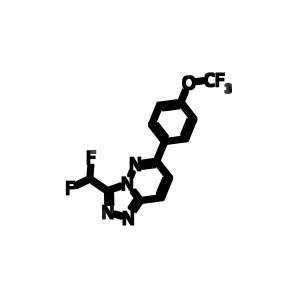 FC(F)c1nnc2ccc(-c3ccc(OC(F)(F)F)cc3)nn12